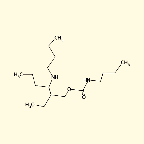 CCCCNC(=O)OCC(CC)C(CCC)NCCCC